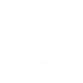 Ic1c(-c2ccc(-c3cc4ccccc4c4ccccc34)cc2)c2ccccc2c2ccccc12